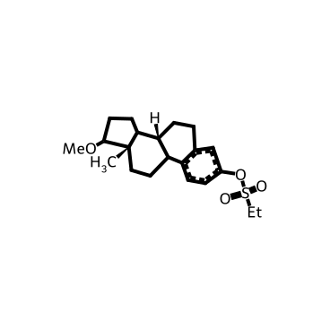 CCS(=O)(=O)Oc1ccc2c(c1)CC[C@@H]1C2CC[C@]2(C)C(OC)CCC12